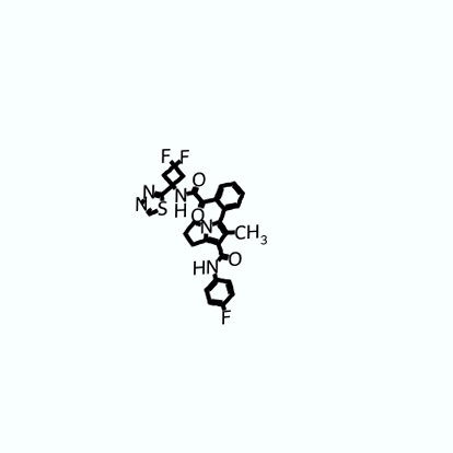 Cc1c(C(=O)Nc2ccc(F)cc2)c2n(c1-c1ccccc1C(=O)C(=O)NC1(c3nncs3)CC(F)(F)C1)CCC2